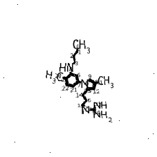 CCCCNc1cc(-n2cc(C)cc2CC/C=N\C(=N)N)ccc1C